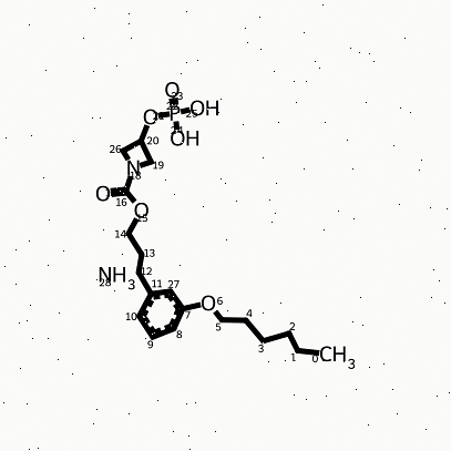 CCCCCCOc1cccc(CCCOC(=O)N2CC(OP(=O)(O)O)C2)c1.N